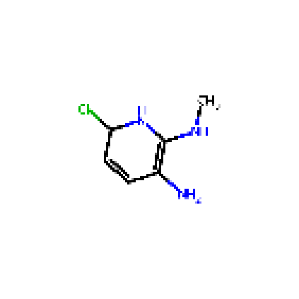 CNC1=C(N)C=CC(Cl)N1